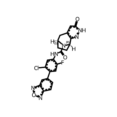 O=C(Nc1cc(Cl)c(-c2ccc3nonc3c2)cc1F)N1[C@H]2CC[C@@H]1c1n[nH]c(=O)cc1C2